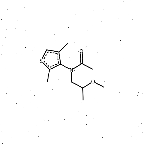 COC(C)CN(C(C)=O)c1c(C)csc1C